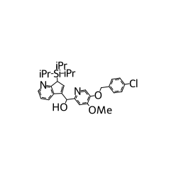 COc1cc(C(O)C2=CC([Si](C(C)C)(C(C)C)C(C)C)c3ncccc32)ncc1OCc1ccc(Cl)cc1